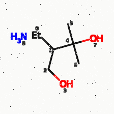 CCC(CO)C(C)(C)O.N